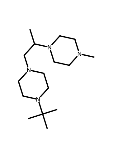 CC(CN1CCN(C(C)(C)C)CC1)N1CCN(C)CC1